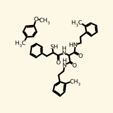 COc1ccc(C)cc1.Cc1ccccc1CCNC(=O)C(NC(=O)C(S)Cc1ccccc1)C(=O)NCCc1ccccc1C